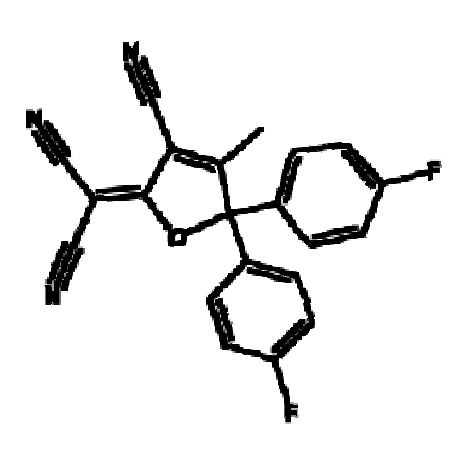 CC1=C(C#N)C(=C(C#N)C#N)OC1(c1ccc(F)cc1)c1ccc(F)cc1